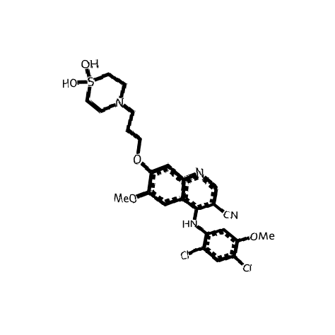 COc1cc(Nc2c(C#N)cnc3cc(OCCCN4CCS(O)(O)CC4)c(OC)cc23)c(Cl)cc1Cl